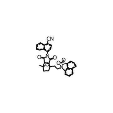 CC12CCC(CCN3c4cccc5cccc(c45)S3(=O)=O)(O1)C1C(=O)N(c3ccc(C#N)c4ccccc34)C(=O)C12